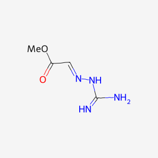 COC(=O)/C=N/NC(=N)N